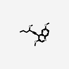 CCCC(C#Cc1c(OC)cnc2ccc(OC)cc12)OC